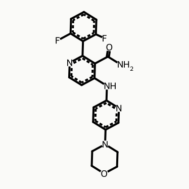 NC(=O)c1c(Nc2ccc(N3CCOCC3)cn2)ccnc1-c1c(F)cccc1F